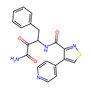 NC(=O)C(=O)C(Cc1ccccc1)NC(=O)c1nscc1-c1ccncc1